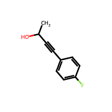 CC(O)C#Cc1ccc(F)cc1